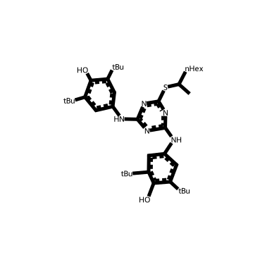 CCCCCCC(C)Sc1nc(Nc2cc(C(C)(C)C)c(O)c(C(C)(C)C)c2)nc(Nc2cc(C(C)(C)C)c(O)c(C(C)(C)C)c2)n1